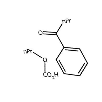 CCCC(=O)c1ccccc1.CCCOC(=O)O